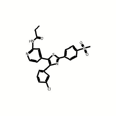 CCC(=O)Nc1cc(-c2sc(-c3ccc(S(C)(=O)=O)cc3)nc2-c2cccc(Cl)c2)ccn1